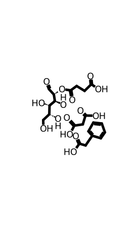 O=C(O)CC(=O)O.O=C(O)Cc1ccccc1.O=C[C@H](OC(=O)CCC(=O)O)[C@@H](O)[C@@H](O)[C@H](O)CO